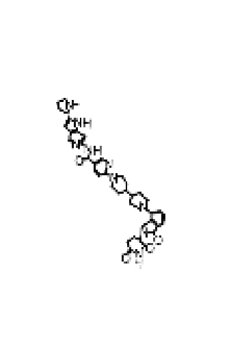 CN1CCC[C@@H]1c1cc2cnc(NC(=O)c3ccc(N4CCC(C5CCN(c6cccc7c6CN(C6CCC(=O)NC6=O)C7=O)CC5)CC4)nc3)cc2[nH]1